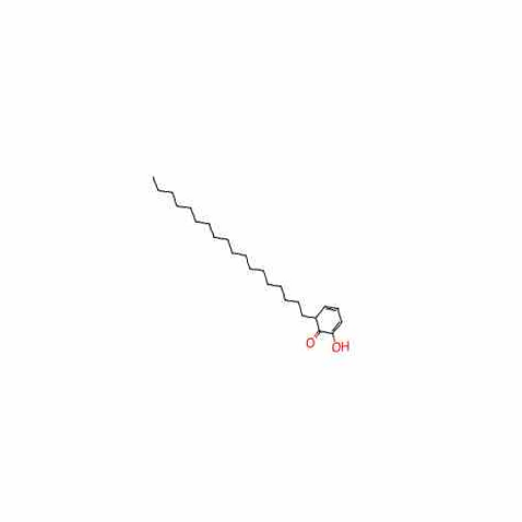 CCCCCCCCCCCCCCCCCCC1C=CC=C(O)C1=O